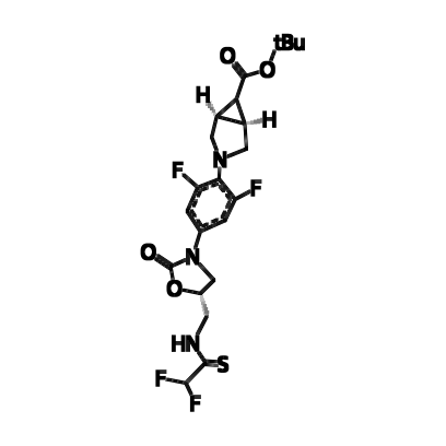 CC(C)(C)OC(=O)C1[C@H]2CN(c3c(F)cc(N4C[C@H](CNC(=S)C(F)F)OC4=O)cc3F)C[C@@H]12